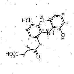 Cl.O=C(O)COC(=O)Cc1ccccc1Nc1c(Cl)cccc1Cl